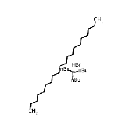 Br.CCCCCCCCCCCCCCCCCCCC.CCCCP(CCCC)CCCC